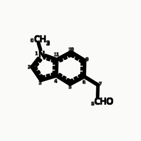 Cn1ccc2cc(CC=O)ccc21